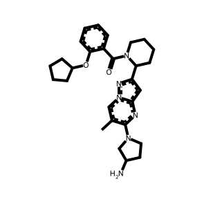 Cc1cn2nc(C3CCCCN3C(=O)c3ccccc3OC3CCCC3)cc2nc1N1CCC(N)C1